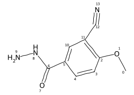 COc1ccc(C(=O)NN)cc1C#N